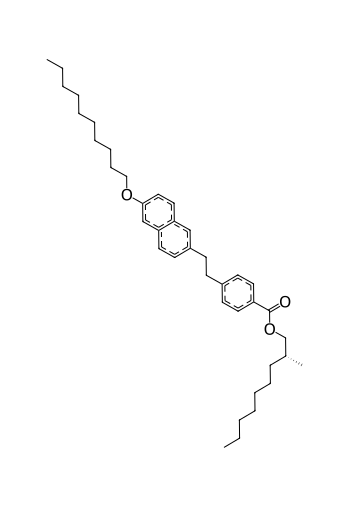 CCCCCCCCCCOc1ccc2cc(CCc3ccc(C(=O)OC[C@H](C)CCCCCCC)cc3)ccc2c1